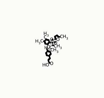 Cc1ccc(S(=O)(=O)N(c2cc(C)c(C)cc2OCc2ccc(C=CC(=O)O)cc2C)C(C)C)o1